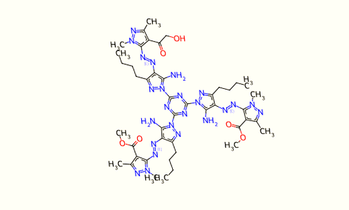 CCCCc1nn(-c2nc(-n3nc(CCCC)c(/N=N/c4c(C(=O)OC)c(C)nn4C)c3N)nc(-n3nc(CCCC)c(/N=N/c4c(C(=O)OC)c(C)nn4C)c3N)n2)c(N)c1/N=N/c1c(C(=O)CO)c(C)nn1C